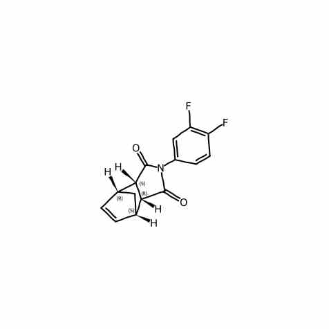 O=C1[C@@H]2[C@H](C(=O)N1c1ccc(F)c(F)c1)[C@@H]1C=C[C@H]2C1